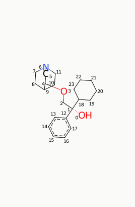 O[C@@](COC1CN2CCC1CC2)(c1ccccc1)C1CCCCC1